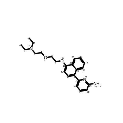 CCN(CC)CCOCCOc1ccc(-c2cccc(N)n2)c2ccccc12